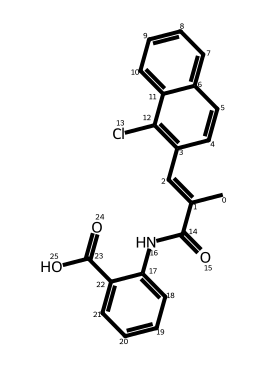 C/C(=C\c1ccc2ccccc2c1Cl)C(=O)Nc1ccccc1C(=O)O